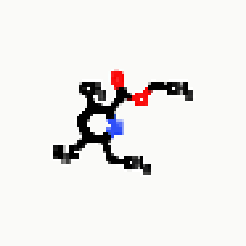 CCOC(=O)c1nc(CC)c(C)cc1C